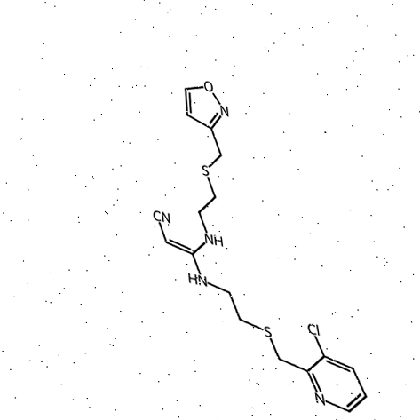 N#CC=C(NCCSCc1ccon1)NCCSCc1ncccc1Cl